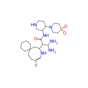 NC(N)C(C(=O)NC1CNCCC1N1CCS(=O)(=O)CC1)C1CC2(CCCCC2)CC/C(F)=C\N1